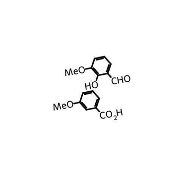 COc1cccc(C(=O)O)c1.COc1cccc(C=O)c1O